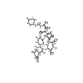 CC[C@H](COCc1ccccc1)NC(=O)c1cnn(-c2ccc(Cl)cc2Cl)c1-c1cccc(-c2ccc3[nH]ccc3c2)c1